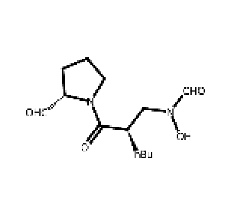 CCCC[C@H](CN(O)C=O)C(=O)N1CCC[C@H]1C=O